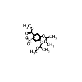 COC(=O)c1cc(OC(C)OC)c(OC(C)OC)cc1[N+](=O)[O-]